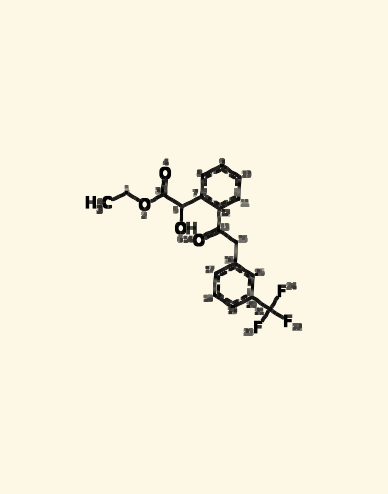 CCOC(=O)C(O)c1ccccc1C(=O)Cc1cccc(C(F)(F)F)c1